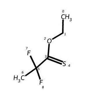 CCOC(=S)C(C)(F)F